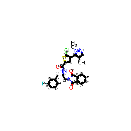 Cc1cnn(C)c1-c1cc(C(=O)N[C@@H](Cc2cccc(F)c2)CN2C(=O)c3ccccc3C2=O)sc1Cl